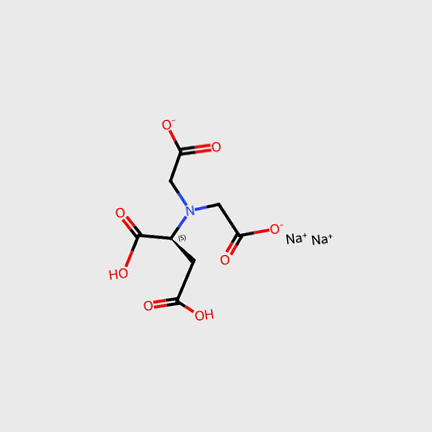 O=C([O-])CN(CC(=O)[O-])[C@@H](CC(=O)O)C(=O)O.[Na+].[Na+]